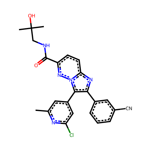 Cc1cc(-c2c(-c3cccc(C#N)c3)nc3ccc(C(=O)NCC(C)(C)O)nn23)cc(Cl)n1